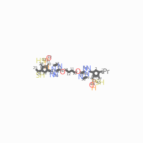 CC(C)C1CC(c2nnc3c(OCCCCOc4nccn5c(C6CC(C(C)S)[C@@H](C)[C@H]6C[PH](=O)S)nnc45)nccn23)[C@H](C[PH](=O)S)[C@@H]1C